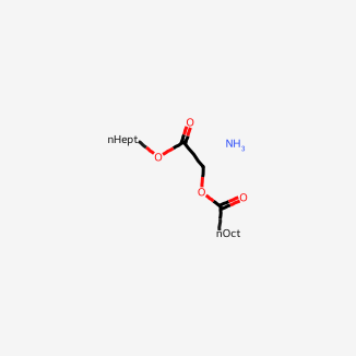 CCCCCCCCC(=O)OCC(=O)OCCCCCCC.N